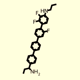 CCCNc1ccc(-c2ccc(-c3ccc(-c4ccc(C(N)CC)cc4)cc3)cc2F)c(F)c1F